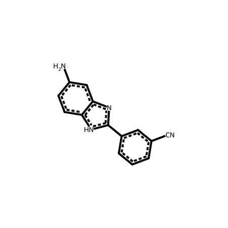 N#Cc1cccc(-c2nc3cc(N)ccc3[nH]2)c1